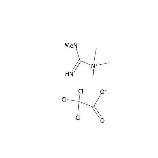 CNC(=N)[N+](C)(C)C.O=C([O-])C(Cl)(Cl)Cl